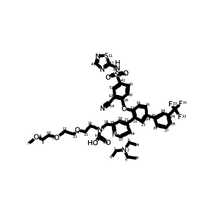 CCN(CC)CC.COCCOCCOCCN(Cc1cc(-c2cc(-c3cccc(C(F)(F)F)c3)ccc2Oc2ccc(S(=O)(=O)Nc3ncns3)cc2C#N)ccn1)C(=O)O